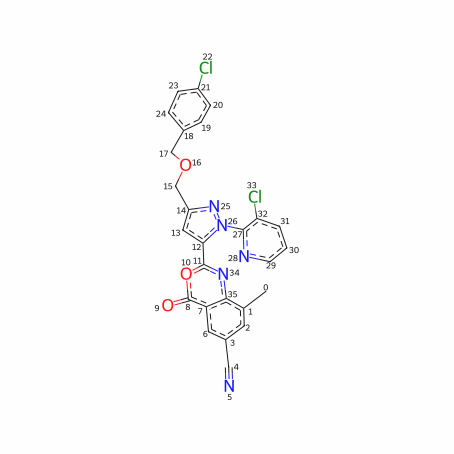 Cc1cc(C#N)cc2c(=O)oc(-c3cc(COCc4ccc(Cl)cc4)nn3-c3ncccc3Cl)nc12